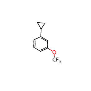 FC(F)(F)Oc1cc[c]c(C2CC2)c1